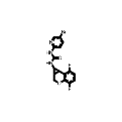 O=C(Nc1ccc(Br)cn1)NC1C2COc3c(F)ccc(F)c3C21